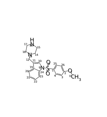 COc1ccc(S(=O)(=O)n2cc(CN3CCNCC3)c3ccccc32)cc1